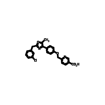 Cc1oc(Cc2cccc(Cl)c2)nc1-c1ccc(OCc2ccc(C(=O)O)cn2)cc1